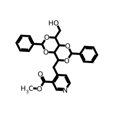 COC(=O)c1cnccc1CC1OC(c2ccccc2)OC2C(CO)OC(c3ccccc3)OC12